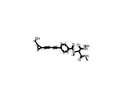 CNC(=O)C(C(=O)NO)N(C)C(=O)c1ccc(C#CC#CC2CC2CO)cc1